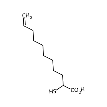 C=CCCCCCCCC(S)C(=O)O